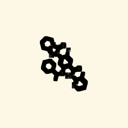 Cc1cccnc1NC(=O)c1cc(F)c(-n2nc3n(c2=O)CCCC3)cc1OC(C)C1CCCCC1